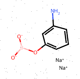 Nc1cccc(OB([O-])[O-])c1.[Na+].[Na+]